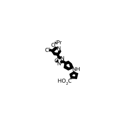 CC(C)Oc1ncc(-c2nc(-c3ccc(N[C@H]4CC[C@@H](C(=O)O)C4)cc3)no2)cc1Cl